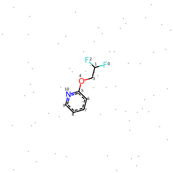 FC(F)COc1ccccn1